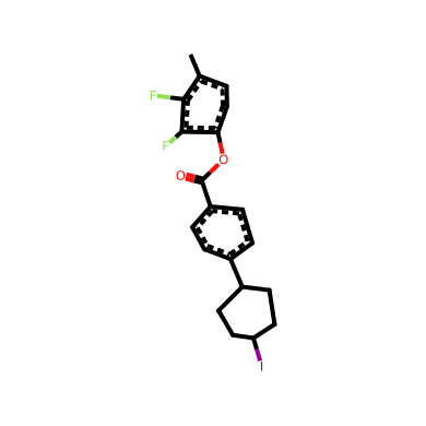 Cc1ccc(OC(=O)c2ccc(C3CCC(I)CC3)cc2)c(F)c1F